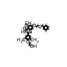 COc1cc(OCCOCc2ccccc2)cc2nc(-c3cc(C)c(OCCO)c(C)c3)[nH]c(=O)c12